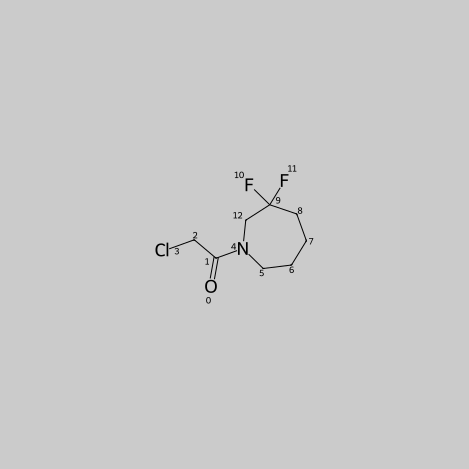 O=C(CCl)N1CCCCC(F)(F)C1